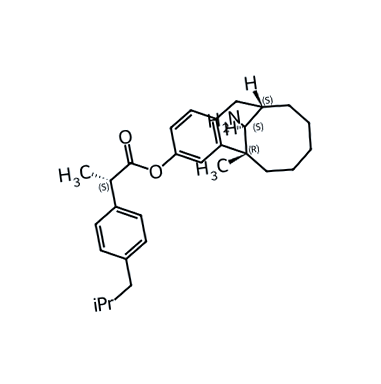 CC(C)Cc1ccc([C@H](C)C(=O)Oc2ccc3c(c2)[C@@]2(C)CCCCC[C@@H](C3)[C@@H]2N)cc1